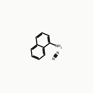 N#N.Nc1cccc2ccccc12